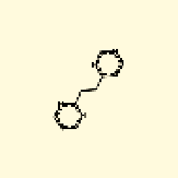 c1cnc(CCc2ccncn2)nc1